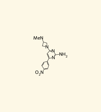 CNC1CN(c2cc(-c3ccc([N+](=O)[O-])cc3)nc(N)n2)C1